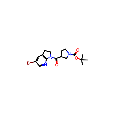 CC(C)(C)OC(=O)N1CCC(C(=O)N2CCc3cc(Br)cnc32)C1